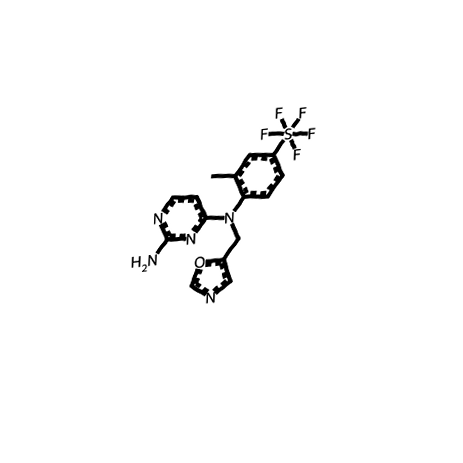 Cc1cc(S(F)(F)(F)(F)F)ccc1N(Cc1cnco1)c1ccnc(N)n1